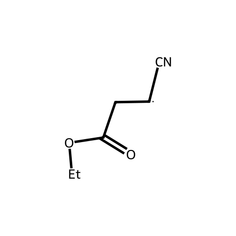 CCOC(=O)C[CH]C#N